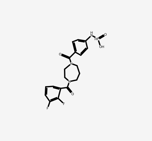 O=C(c1ccc(N[PH](=O)O)cc1)N1CCCN(C(=O)c2cccc(F)c2F)CC1